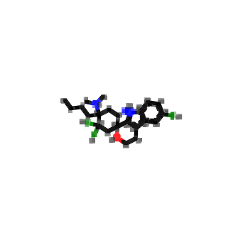 CCCCC1(N(C)C)CCC2(CC1(F)F)OCCc1c2[nH]c2ccc(F)cc12